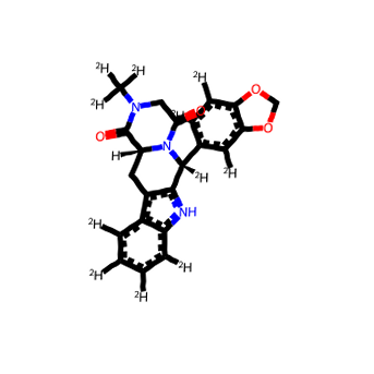 [2H]c1c([2H])c([C@]2([2H])c3[nH]c4c([2H])c([2H])c([2H])c([2H])c4c3C[C@@H]3C(=O)N(C([2H])([2H])[2H])CC(=O)N32)c([2H])c2c1OCO2